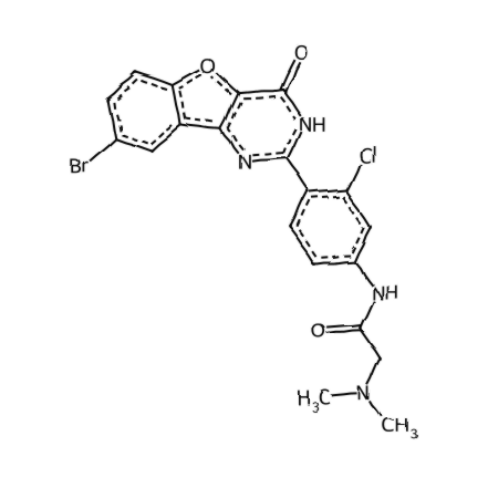 CN(C)CC(=O)Nc1ccc(-c2nc3c(oc4ccc(Br)cc43)c(=O)[nH]2)c(Cl)c1